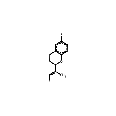 C/C(=C\F)C1CCc2cc(F)ccc2O1